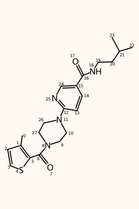 Cc1ccsc1C(=O)N1CCN(c2ccc(C(=O)NCCC(C)C)cn2)CC1